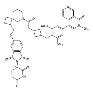 COc1cc(-c2cn(C)c(=O)c3cnccc23)cc(OC)c1CN1CC(CC(=O)N2CCCC3(CCC3COc3ccc4c(c3)C(=O)N([C@@H]3CCC(=O)NC3=O)C4=O)C2)C1